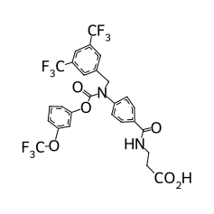 O=C(O)CCNC(=O)c1ccc(N(Cc2cc(C(F)(F)F)cc(C(F)(F)F)c2)C(=O)Oc2cccc(OC(F)(F)F)c2)cc1